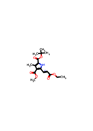 CCOC(=O)/C=C/c1[nH]c(C(=O)OC(C)(C)C)c(C)c1C(=O)OC